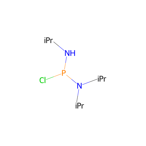 CC(C)NP(Cl)N(C(C)C)C(C)C